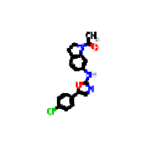 CC(=O)N1CCc2ccc(Nc3ncc(-c4ccc(Cl)cc4)o3)cc21